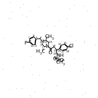 C[C@@H]1CN(Cc2ccc(F)cc2)[C@@H](C)CN1C(=O)CC(CNS(C)(=O)=O)c1ccc(Cl)cc1